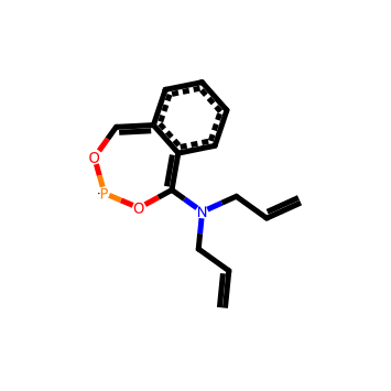 C=CCN(CC=C)C1=c2ccccc2=CO[P]O1